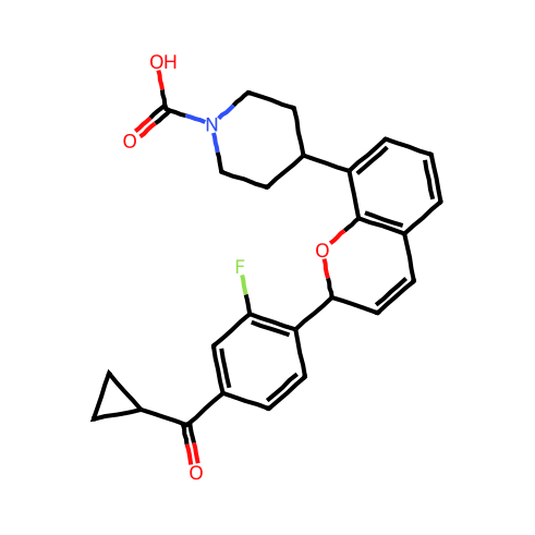 O=C(c1ccc(C2C=Cc3cccc(C4CCN(C(=O)O)CC4)c3O2)c(F)c1)C1CC1